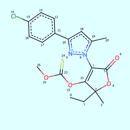 CCC1(C)OC(=O)C(n2nc(-c3ccc(Cl)cc3)cc2C)=C1OC(=S)OC